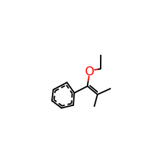 CCOC(=C(C)C)c1ccccc1